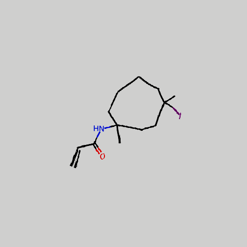 C=CC(=O)NC1(C)CCCCC(C)(I)CC1